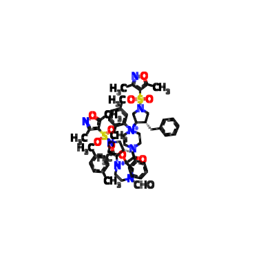 Cc1ccc(C)c([N+]2([C@H]3CN(S(=O)(=O)c4c(C)noc4C)C[C@@H]3Cc3ccccc3)CCN(C(=O)C3(OC(=O)C(F)(F)F)CN(C=O)CC[N@+]3(c3cc(C)ccc3C)[C@H]3CN(S(=O)(=O)c4c(C)noc4C)C[C@@H]3Cc3ccccc3)CC2)c1